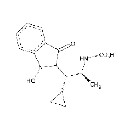 C[C@H](NC(=O)O)[C@H](C1CC1)C1C(=O)c2ccccc2N1O